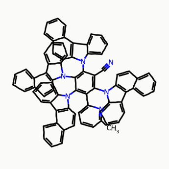 Cc1cccc(-c2c(-n3c4ccccc4c4c5ccccc5ccc43)c(C#N)c(-n3c4ccccc4c4c5ccccc5ccc43)c(-n3c4ccccc4c4c5ccccc5ccc43)c2-n2c3ccccc3c3c4ccccc4ccc32)n1